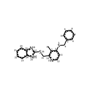 Cc1c(SCc2ccccc2)ccnc1CSc1nc2ccccc2[nH]1